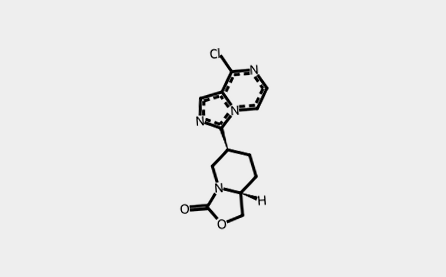 O=C1OC[C@H]2CC[C@H](c3ncc4c(Cl)nccn34)CN12